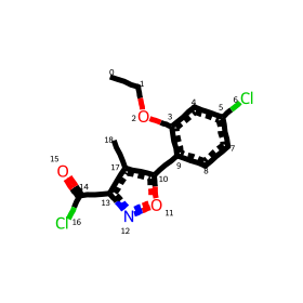 CCOc1cc(Cl)ccc1-c1onc(C(=O)Cl)c1C